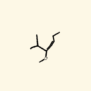 CC/C=C(/OC)C(C)C